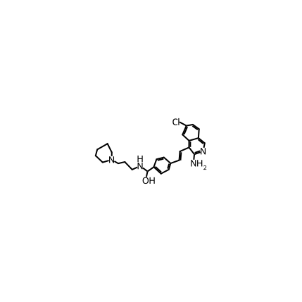 Nc1ncc2ccc(Cl)cc2c1/C=C/c1ccc(C(O)NCCCN2CCCCC2)cc1